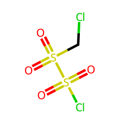 O=S(=O)(Cl)S(=O)(=O)CCl